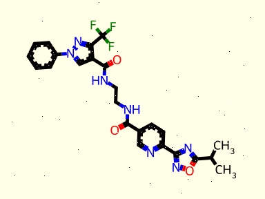 CC(C)c1nc(-c2ccc(C(=O)NCCNC(=O)c3cn(-c4ccccc4)nc3C(F)(F)F)cn2)no1